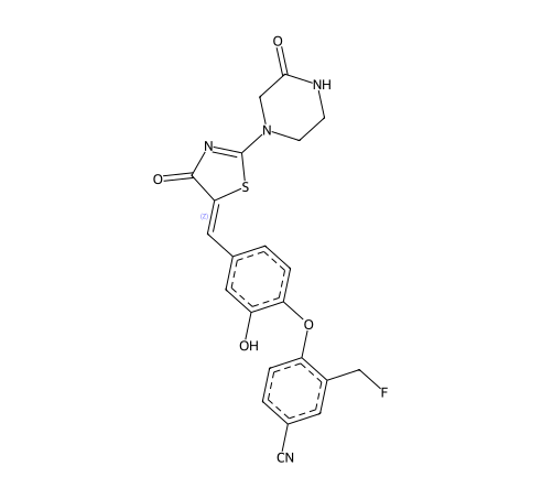 N#Cc1ccc(Oc2ccc(/C=C3\SC(N4CCNC(=O)C4)=NC3=O)cc2O)c(CF)c1